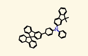 CC1(C)c2ccccc2-c2ccc(N(C3=CCC(c4ccc5c(c4)-c4ccccc4C54c5ccccc5C5C=CC=CC54)C=C3)c3ccccc3)cc21